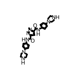 Cn1nc(C(=O)Nc2ccc(N3CCNCC3)cc2)cc1C(=O)Nc1ccc(N2CCNCC2)cc1